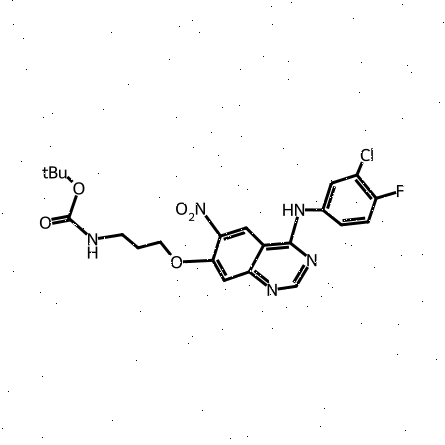 CC(C)(C)OC(=O)NCCCOc1cc2ncnc(Nc3ccc(F)c(Cl)c3)c2cc1[N+](=O)[O-]